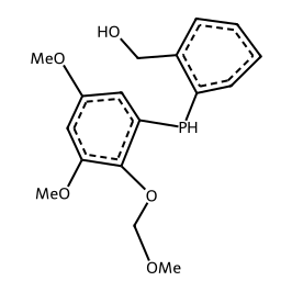 COCOc1c(OC)cc(OC)cc1Pc1ccccc1CO